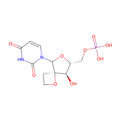 O=c1ccn(C2O[C@H](COP(=O)(O)O)[C@@H](O)[C@]23CCO3)c(=O)[nH]1